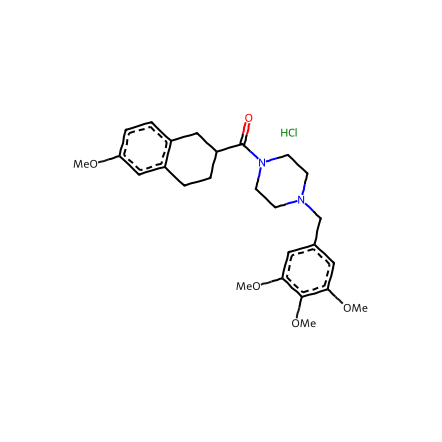 COc1ccc2c(c1)CCC(C(=O)N1CCN(Cc3cc(OC)c(OC)c(OC)c3)CC1)C2.Cl